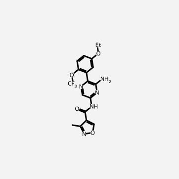 CCOc1ccc(OC(F)(F)F)c(-c2ncc(NC(=O)c3conc3C)nc2N)c1